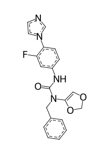 O=C(Nc1ccc(-n2ccnc2)c(F)c1)N(Cc1ccccc1)C1=COCO1